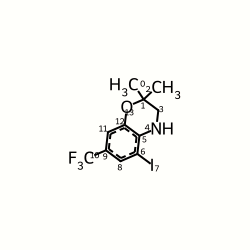 CC1(C)CNc2c(I)cc(C(F)(F)F)cc2O1